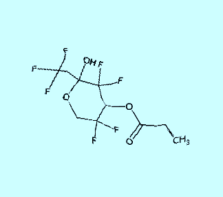 CCC(=O)OC1C(F)(F)COC(O)(C(F)(F)F)C1(F)F